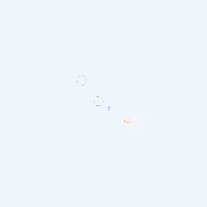 O=[PH](O)OCCCNCc1ccc(SCCCCC2(c3ccc(F)cc3)CCCCC2)c(Cl)c1